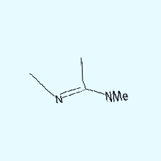 CN=C(C)NC